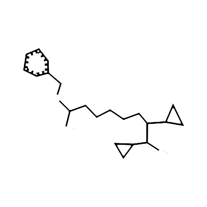 CCCCCCCC(CCCCCC(C1CC1)C(C#N)C1CC1)OCc1ccccc1